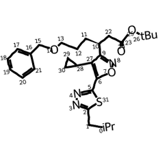 CC(C)Cc1nnc(-c2onc([C@@H](CCCOCc3ccccc3)CC(=O)OC(C)(C)C)c2C2CC2)s1